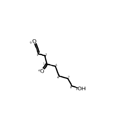 O=[C]CC(=O)CCCCO